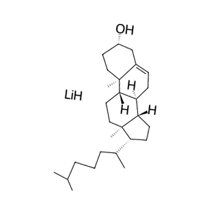 CC(C)CCCC(C)[C@H]1CC[C@H]2[C@@H]3CC=C4C[C@@H](O)CC[C@]4(C)[C@H]3CC[C@]12C.[LiH]